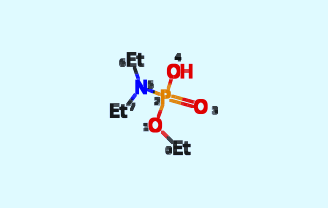 CCOP(=O)(O)N(CC)CC